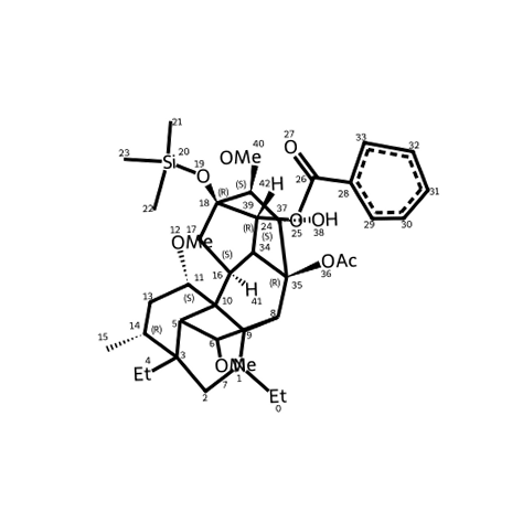 CCN1CC2(CC)C3C(OC)C4C1C3([C@@H](OC)C[C@H]2C)[C@H]1C[C@@]2(O[Si](C)(C)C)[C@H](OC(=O)c3ccccc3)C1[C@]4(OC(C)=O)[C@@H](O)[C@@H]2OC